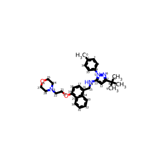 Cc1ccc(-n2nc(C(C)(C)C)cc2NCc2ccc(OCCN3CCOCC3)c3ccccc23)cc1